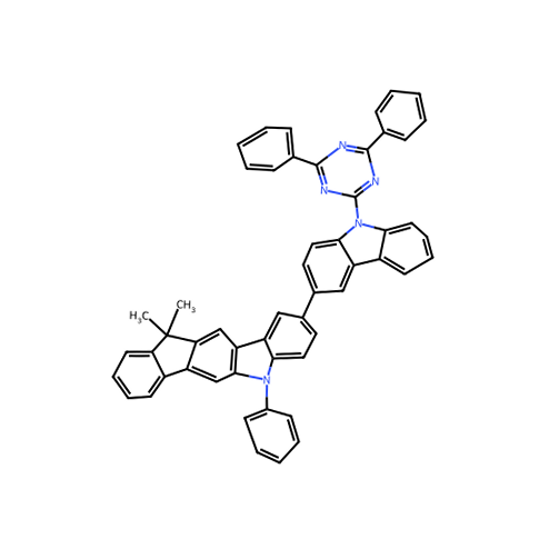 CC1(C)c2ccccc2-c2cc3c(cc21)c1cc(-c2ccc4c(c2)c2ccccc2n4-c2nc(-c4ccccc4)nc(-c4ccccc4)n2)ccc1n3-c1ccccc1